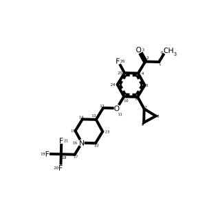 CCC(=O)c1cc(C2CC2)c(OCC2CCN(CC(F)(F)F)CC2)cc1F